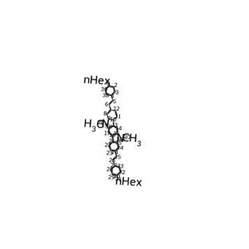 CCCCCCc1ccc(/C=C/C2=CC3C(C=C2)c2cc4c(cc2N3C)c2ccc(/C=C/c3ccc(CCCCCC)cc3)cc2n4C)cc1